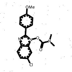 COc1ccc(-c2nc3ccc(Cl)cc3n2OC(=O)N(C)C)cc1